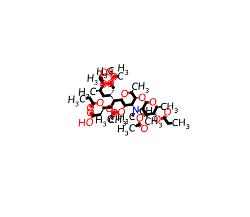 CCC(=O)O[C@H](CC(=O)O)[C@@H](OC)[C@H]([C@@H](CC(OC)OC)C[C@@H](C)[C@H](C=O)OC(C)=O)[C@@H]1O[C@H](C)[C@@H](O[C@@H]2C[C@@](C)(OC(C)=O)[C@@H](OC(=O)CC)[C@H](C)O2)[C@H](N(C)C)[C@H]1OC(C)=O